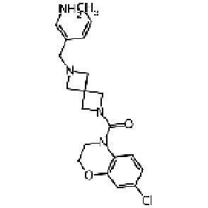 C/C=C\C(=C/N)CN1CC2(C1)CN(C(=O)N1CCOc3cc(Cl)ccc31)C2